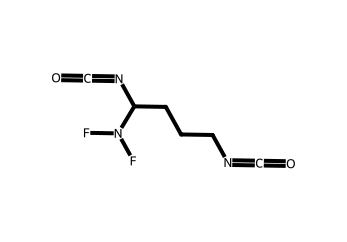 O=C=NCCCC(N=C=O)N(F)F